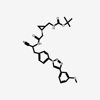 COc1cccc(-c2cn(-c3ccc(CC(C#N)NC(=O)C[C@H]4CC4CNC(=O)OC(C)(C)C)cc3)nn2)c1